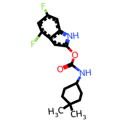 CC1(C)CCC(NC(=O)Oc2cc3c(F)cc(F)cc3[nH]2)CC1